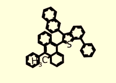 CC12CC=CC=C1C(c1sc3c(-c4ccccc4)cccc3c1-c1ccc3ccccc3c1)=c1ccccc1=C2c1ccccc1